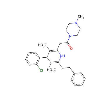 CN1CCN(C(=O)CC2=C(C(=O)O)C(c3ccccc3Cl)C(C(=O)O)=C(CCc3ccccc3)N2)CC1